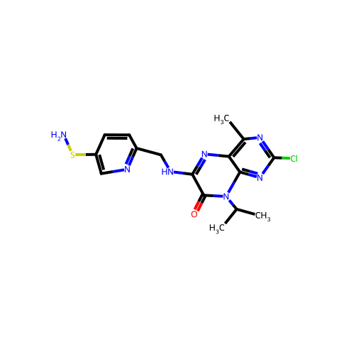 Cc1nc(Cl)nc2c1nc(NCc1ccc(SN)cn1)c(=O)n2C(C)C